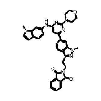 Cn1ccc2ccc(Nc3cc(-c4ccc5c(CCN6C(=O)c7ccccc7C6=O)nn(C)c5c4)nc(N4CCOCC4)n3)cc21